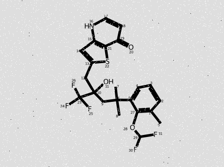 Cc1cccc(C(C)(C)CC(O)(Cc2cc3[nH]ccc(=O)c3s2)C(F)(F)F)c1OC(F)F